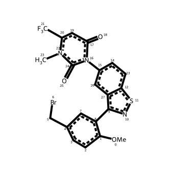 COc1ccc(CBr)cc1-c1nsc2ccc(-n3c(=O)cc(C(F)(F)F)n(C)c3=O)cc12